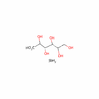 O=C(O)C(O)C(O)C(O)C(O)CO.[SbH3]